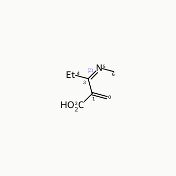 C=C(C(=O)O)/C(CC)=N\C